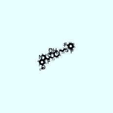 COc1ccc2nccc([C@@H](F)CC[C@@H]3CCN(CCCSc4c(F)cccc4F)C[C@@H]3C(=O)O)c2c1